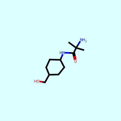 CC(C)(N)C(=O)NC1CCC(CO)CC1